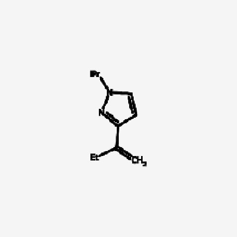 C=C(CC)c1ccn(C(C)C)n1